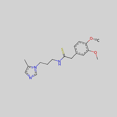 COc1cc(CC(=S)NCCCn2cncc2C)ccc1O[11CH3]